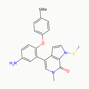 CSc1ccc(Oc2ccc(N)cc2-c2cn(C)c(=O)c3c2ccn3SI)cc1